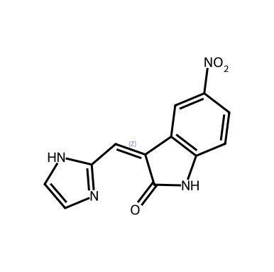 O=C1Nc2ccc([N+](=O)[O-])cc2/C1=C/c1ncc[nH]1